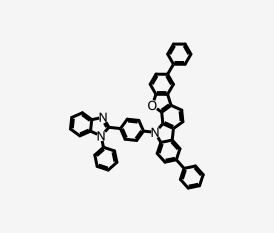 c1ccc(-c2ccc3oc4c(ccc5c6cc(-c7ccccc7)ccc6n(-c6ccc(-c7nc8ccccc8n7-c7ccccc7)cc6)c54)c3c2)cc1